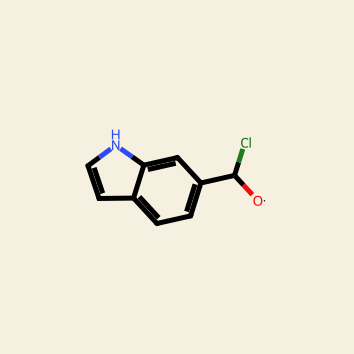 [O]C(Cl)c1ccc2cc[nH]c2c1